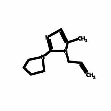 C=CCn1c(C)cnc1N1CCCC1